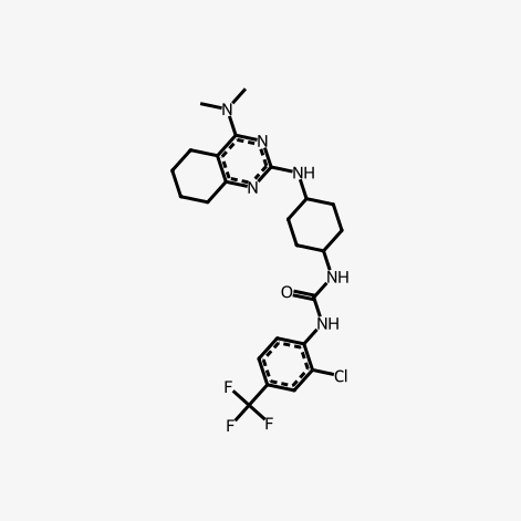 CN(C)c1nc(NC2CCC(NC(=O)Nc3ccc(C(F)(F)F)cc3Cl)CC2)nc2c1CCCC2